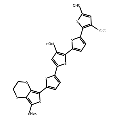 CCCCCCCCc1cc(C=O)sc1-c1ccc(-c2sc(-c3ccc(-c4sc(CCCCCC)c5c4SCCS5)s3)cc2CCCCCCCC)s1